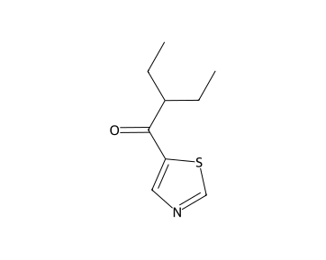 CCC(CC)C(=O)c1cncs1